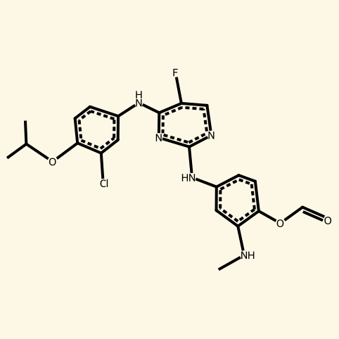 CNc1cc(Nc2ncc(F)c(Nc3ccc(OC(C)C)c(Cl)c3)n2)ccc1OC=O